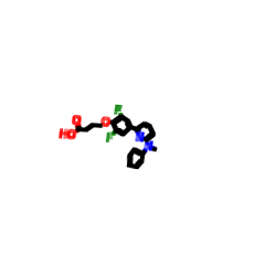 CN(c1ccccc1)c1cccc(-c2cc(F)c(OCCCC(=O)O)c(F)c2)n1